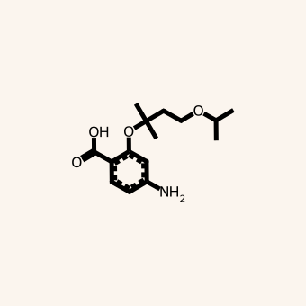 CC(C)OCCC(C)(C)Oc1cc(N)ccc1C(=O)O